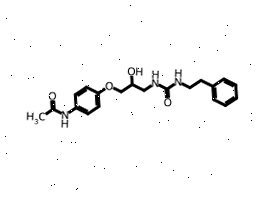 CC(=O)Nc1ccc(OCC(O)CNC(=O)NCCc2ccccc2)cc1